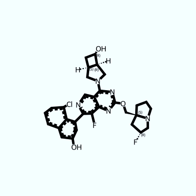 Oc1cc(-c2ncc3c(N4C[C@H]5C[C@@H](O)[C@H]5C4)nc(OC[C@@]45CCCN4C[C@H](F)C5)nc3c2F)c2c(Cl)cccc2c1